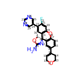 NC1=N[C@]2(CO1)c1cc(C3=CCOCC3)ccc1Oc1cc(F)c(-c3cncnc3)cc12